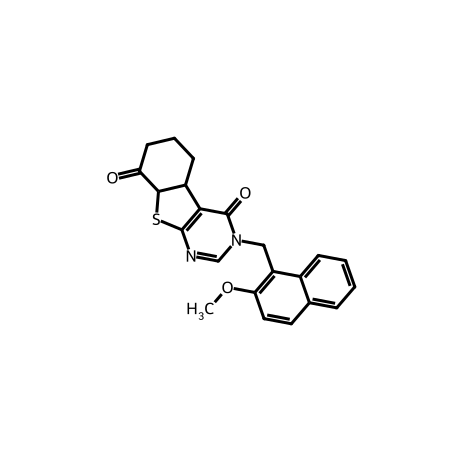 COc1ccc2ccccc2c1Cn1cnc2c(c1=O)C1CCCC(=O)C1S2